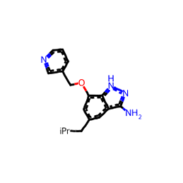 CC(C)Cc1cc(OCc2cccnc2)c2[nH]nc(N)c2c1